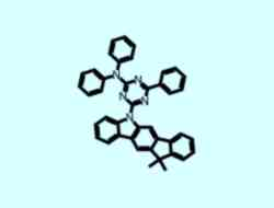 CC1(C)c2ccccc2-c2cc3c(cc21)c1ccccc1n3-c1nc(-c2ccccc2)nc(N(c2ccccc2)c2ccccc2)n1